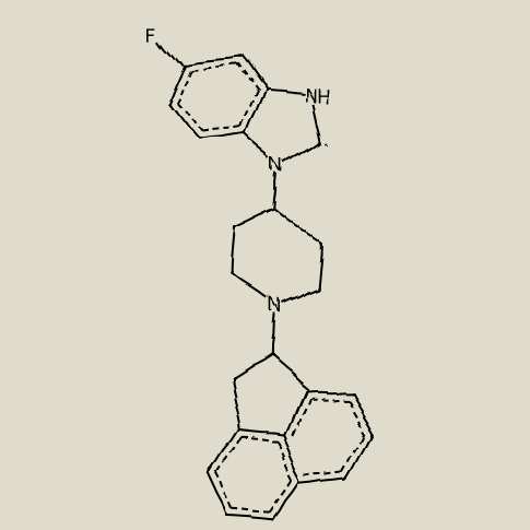 Fc1ccc2c(c1)N[CH]N2C1CCN(C2Cc3cccc4cccc2c34)CC1